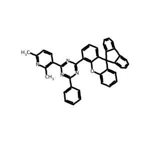 Cc1ccc(-c2nc(-c3ccccc3)nc(-c3cccc4c3Oc3ccccc3C43c4ccccc4-c4ccccc43)n2)c(C)n1